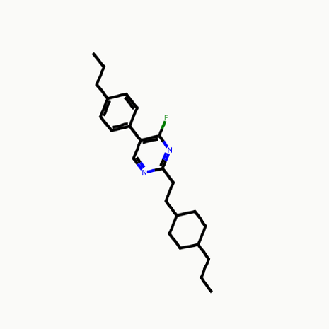 CCCc1ccc(-c2cnc(CCC3CCC(CCC)CC3)nc2F)cc1